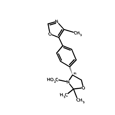 Cc1ncoc1-c1ccc([C@@H]2COC(C)(C)N2C(=O)O)cc1